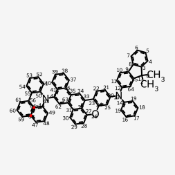 CC1(C)c2ccccc2-c2ccc(N(c3ccccc3)c3ccc4c(c3)Oc3cccc5c3c-4cc3c4ccccc4c(N(c4ccccc4)c4ccccc4-c4ccccc4)cc53)cc21